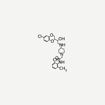 Cc1cccc(C)c1NC(=O)CN1CCC(NCC(O)C2COc3cc(Cl)ccc3O2)CC1